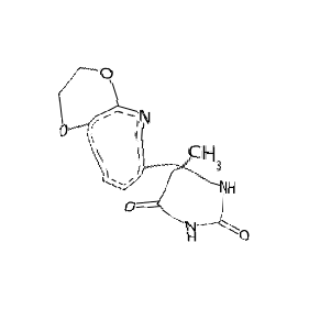 CC1(c2ccc3c(n2)OCCO3)NC(=O)NC1=O